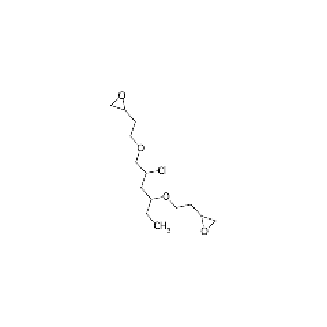 CCC(CC(Cl)COCCC1CO1)OCCC1CO1